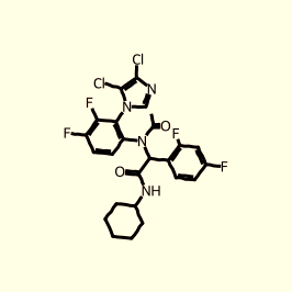 CC(=O)N(c1ccc(F)c(F)c1-n1cnc(Cl)c1Cl)C(C(=O)NC1CCCCC1)c1ccc(F)cc1F